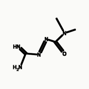 CN(C)C(=O)N=NC(=N)N